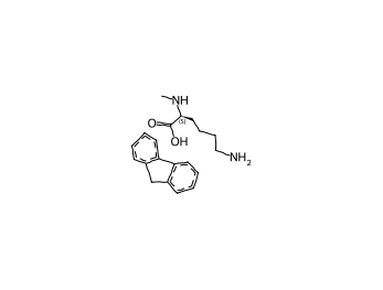 CN[C@@H](CCCCN)C(=O)O.c1ccc2c(c1)Cc1ccccc1-2